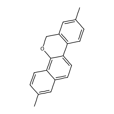 Cc1ccc2c(c1)COc1c-2ccc2cc(C)ccc12